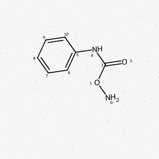 NOC(=O)Nc1ccccc1